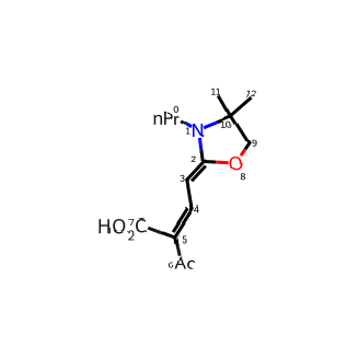 CCCN1/C(=C/C=C(/C(C)=O)C(=O)O)OCC1(C)C